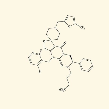 O=C(O)CCCN[C@@H](Cn1c(=O)c2c(n(Cc3c(F)cccc3F)c1=O)COC21CCN(Cc2ccc(C(F)(F)F)o2)CC1)c1ccccc1